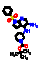 CC(C)(C)OC(=O)N1CCC[C@@H](Nc2c(N)cnc3c2ccn3S(=O)(=O)c2ccccc2)C1